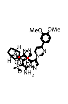 COc1ccc(C2=CCN(c3cnn4c(N)c(S(C)(=O)=O)c([C@H]5C[C@H]6CC[C@@H](C5)N6C(=O)c5nnc[nH]5)nc34)C=N2)cc1OC